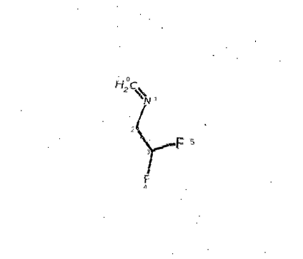 C=NCC(F)F